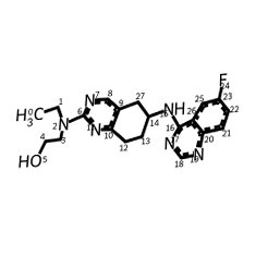 CCN(CCO)c1ncc2c(n1)CCC(Nc1ncnc3ccc(F)cc13)C2